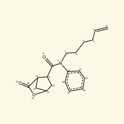 C=CCCCCN(C(=O)C1CC2CC1C(=O)O2)c1ccccc1